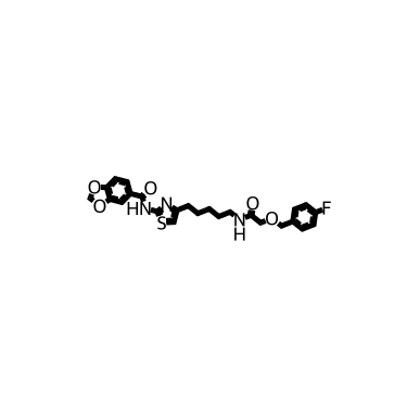 O=C(COCc1ccc(F)cc1)NCCCCCc1csc(NC(=O)c2ccc3c(c2)OCO3)n1